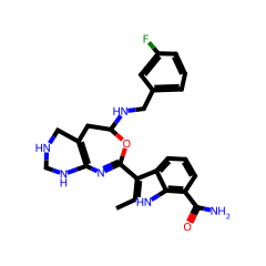 Cc1[nH]c2c(C(N)=O)cccc2c1C1=NC2=C(CNCN2)CC(NCc2cccc(F)c2)O1